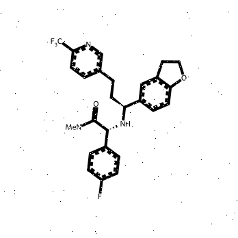 CNC(=O)[C@H](N[C@@H](CCc1ccc(C(F)(F)F)nc1)c1ccc2c(c1)CCO2)c1ccc(F)cc1